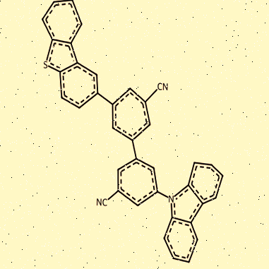 N#Cc1cc(-c2cc(C#N)cc(-n3c4ccccc4c4ccccc43)c2)cc(-c2ccc3sc4ccccc4c3c2)c1